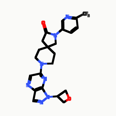 O=C1CC2(CCN(c3cnc4cnn(C5COC5)c4n3)CC2)CN1c1ccc(C(F)(F)F)nc1